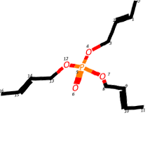 CC=CCOP(=O)(OCC=CC)OCC=CC